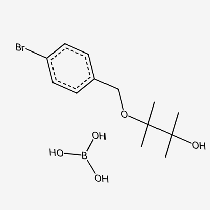 CC(C)(O)C(C)(C)OCc1ccc(Br)cc1.OB(O)O